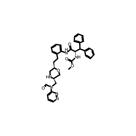 COC(=O)N[C@H](C(=O)Nc1ccccc1CC[C@@H]1CN[C@H](CN(C=O)c2cccnn2)CO1)C(c1ccccc1)c1ccccc1